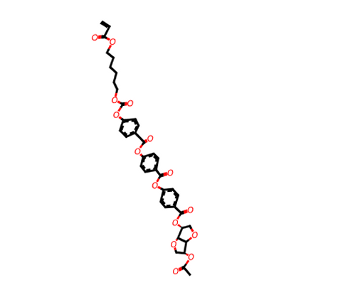 C=CC(=O)OCCCCCCOC(=O)Oc1ccc(C(=O)Oc2ccc(C(=O)Oc3ccc(C(=O)O[C@H]4COC5C4OC[C@@H]5OC(C)=O)cc3)cc2)cc1